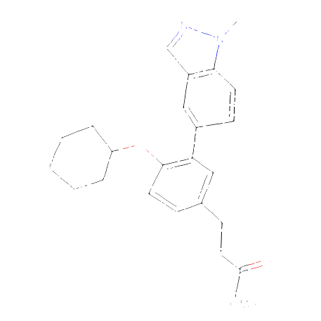 COC(=O)CCc1ccc(OC2CCCCC2)c(-c2ccc3c(cnn3C)c2)c1